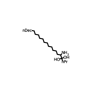 CCCCCCCCCCCCCCCCCCCCCCC(N)C(O)(O)CCC